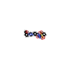 O=S1(=O)c2ccccc2S(=O)(=O)c2c1n[n+]([O-])n2Cc1ccc(N2CCN(c3cccc4ccoc34)CC2)cc1